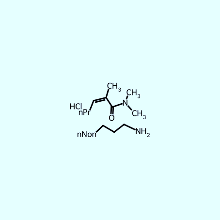 CCCC=C(C)C(=O)N(C)C.CCCCCCCCCCCCN.Cl